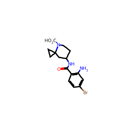 Nc1cc(Br)ccc1C(=O)NC1CCN(C(=O)O)C2(CC2)C1